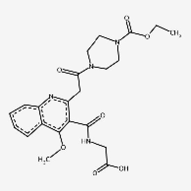 CCOC(=O)N1CCN(C(=O)Cc2nc3ccccc3c(OC)c2C(=O)NCC(=O)O)CC1